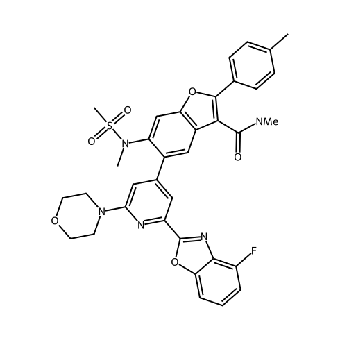 CNC(=O)c1c(-c2ccc(C)cc2)oc2cc(N(C)S(C)(=O)=O)c(-c3cc(-c4nc5c(F)cccc5o4)nc(N4CCOCC4)c3)cc12